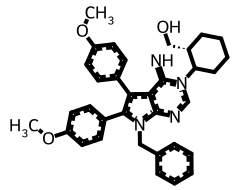 COc1ccc(-c2c(-c3ccc(OC)cc3)n(Cc3ccccc3)c3ncn(C4CCCC[C@H]4CO)c(=N)c23)cc1